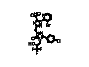 O=C(O)c1nc(Cn2nc(-c3ccc(Cl)cc3)n(C[C@H](O)C(F)(F)F)c2=O)nn1-c1ncccc1Br